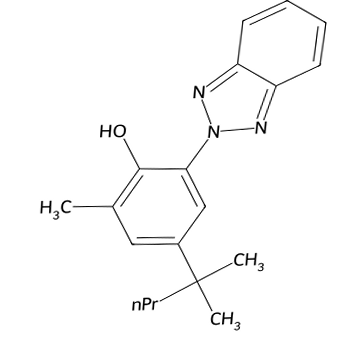 CCCC(C)(C)c1cc(C)c(O)c(-n2nc3ccccc3n2)c1